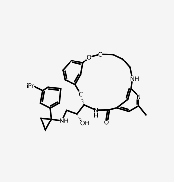 Cc1cc2cc(n1)NCCCCOc1cccc(c1)C[C@@H]([C@H](O)CNC1(c3cccc(C(C)C)c3)CC1)NC2=O